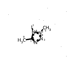 Cc1nn[n+](C)n1I